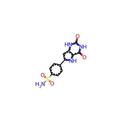 NS(=O)(=O)c1ccc(-c2cc3[nH]c(=O)[nH]c(=O)c3[nH]2)cc1